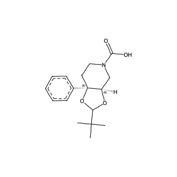 CC(C)(C)C1O[C@@H]2CN(C(=O)O)CC[C@]2(c2ccccc2)O1